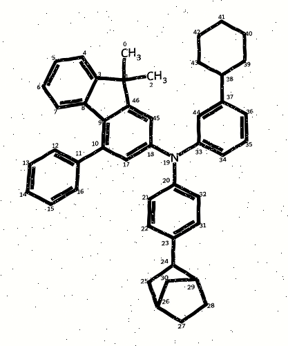 CC1(C)c2ccccc2-c2c(-c3ccccc3)cc(N(c3ccc(C4CC5CCC4C5)cc3)c3cccc(C4CCCCC4)c3)cc21